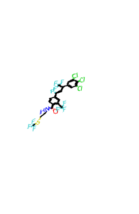 O=C(NCCSC(F)(F)F)c1ccc(C(F)=CC(c2cc(Cl)c(Cl)c(Cl)c2)C(F)(F)F)cc1C(F)(F)F